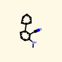 CNc1cccc(-c2ccccc2)c1C#N